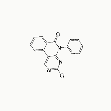 O=c1c2ccccc2c2cnc(Cl)nc2n1-c1ccccc1